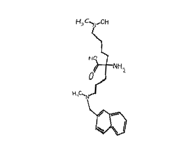 CB(O)CCCCC(N)(CCCN(C)Cc1ccc2ccccc2c1)C(=O)O